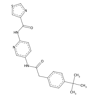 CC(C)(C)c1ccc(CC(=O)Nc2ccc(NC(=O)c3cscn3)nc2)cc1